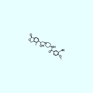 COc1ccc(C(=O)NC2CCN(CC(O)c3ccc4c(c3C)COC4=O)CC2)cc1C#N